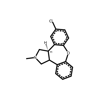 CN1CC2c3ccccc3Oc3ccc(Cl)cc3[C@@H]2C1